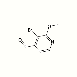 COc1nccc(C=O)c1Br